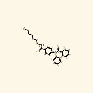 O=C(NCCCCCCS)c1ccc(N(C(=O)c2ccccn2)c2ccccc2)cc1